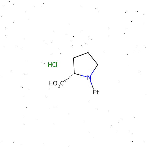 CCN1CCC[C@H]1C(=O)O.Cl